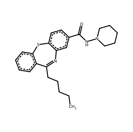 CCCCCC1=Nc2cc(C(=O)NN3CCCCC3)ccc2Sc2ccccc21